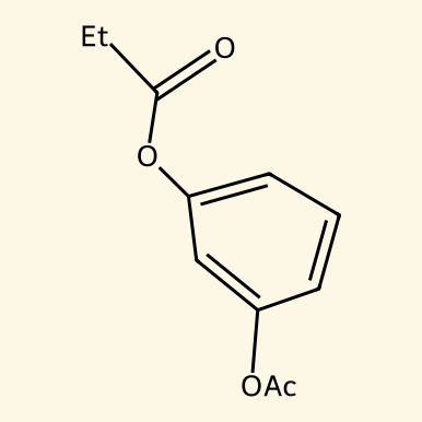 CCC(=O)Oc1cccc(OC(C)=O)c1